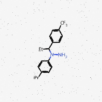 CCC(c1ccc(C(F)(F)F)cc1)N(N)c1ccc(C(C)C)cc1